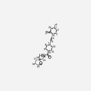 Cc1ccc(C#Cc2ccc(C(=O)NCC3(C)CCCO3)cc2)c(F)c1